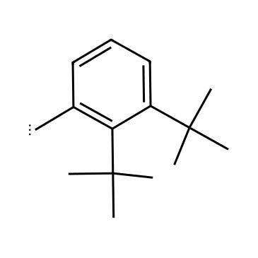 [C]c1cccc(C(C)(C)C)c1C(C)(C)C